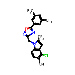 N#Cc1ccc2c(cc(C(F)(F)F)n2Cc2noc(-c3cc(C(F)(F)F)cc(C(F)(F)F)c3)n2)c1Cl